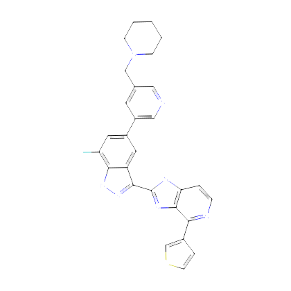 Fc1cc(-c2cncc(CN3CCCCC3)c2)cc2c(-c3nc4c(-c5ccsc5)nccc4[nH]3)n[nH]c12